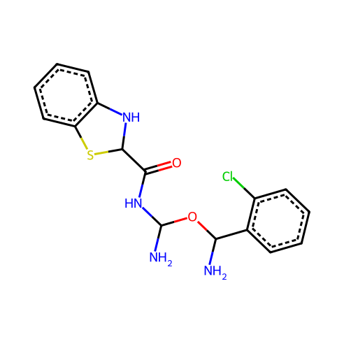 NC(NC(=O)C1Nc2ccccc2S1)OC(N)c1ccccc1Cl